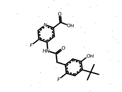 CC(C)(C)c1cc(F)c(CC(=O)Nc2cc(C(=O)O)ncc2F)cc1O